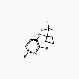 Fc1ccc(NC2(C(F)(F)F)CCC2)c(F)n1